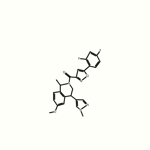 COc1ccc2c(c1)C(c1cnn(C)c1)CN(C(=O)c1cc(-c3ccc(F)cc3F)on1)C2C